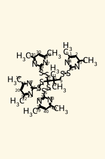 Cc1cc(C)nc(SSCC(C)(C)C(SSc2nc(C)cc(C)n2)(SSc2nc(C)cc(C)n2)SSc2nc(C)cc(C)n2)n1